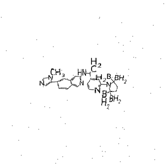 BC1(B)CCC(B)(B)N1c1cc(C(=C)Nc2cc3cc(-c4cncn4C)ccc3cn2)ccn1